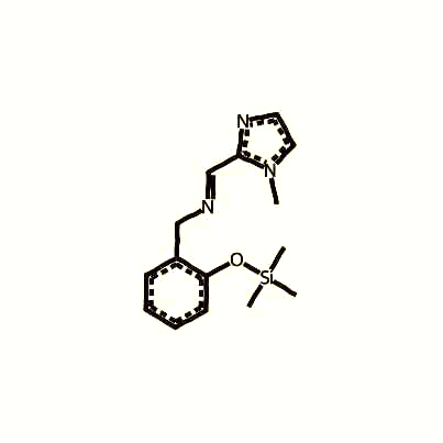 Cn1ccnc1C=NCc1ccccc1O[Si](C)(C)C